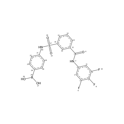 O=C(Nc1cc(F)c(F)c(F)c1)c1cccc(S(=O)(=O)Nc2ccc(B(O)O)cc2)c1